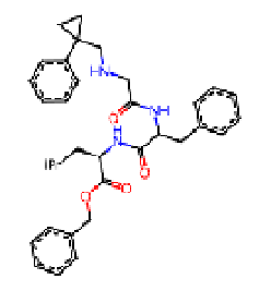 CC(C)C[C@@H](NC(=O)C(Cc1ccccc1)NC(=O)CNCC1(c2ccccc2)CC1)C(=O)OCc1ccccc1